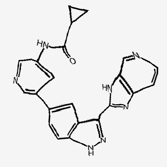 O=C(Nc1cncc(-c2ccc3[nH]nc(-c4nc5ccncc5[nH]4)c3c2)c1)C1CC1